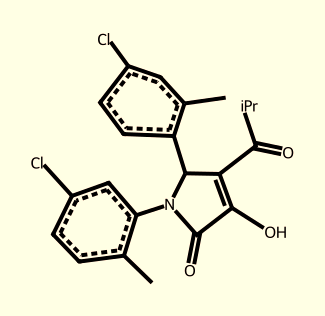 Cc1cc(Cl)ccc1C1C(C(=O)C(C)C)=C(O)C(=O)N1c1cc(Cl)ccc1C